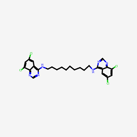 Clc1cc(Cl)c2ncnc(NCCCCCCCCCCNc3ncnc4c(Cl)cc(Cl)cc34)c2c1